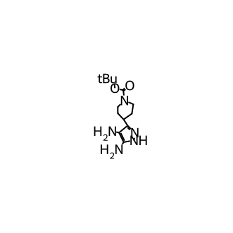 CC(C)(C)OC(=O)N1CCC(c2n[nH]c(N)c2N)CC1